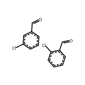 O=Cc1cccc(Cl)c1.O=Cc1ccccc1Cl